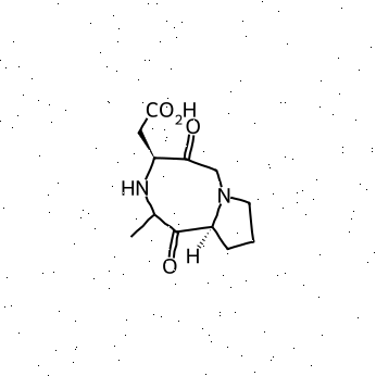 CC1N[C@@H](CC(=O)O)C(=O)CN2CCC[C@H]2C1=O